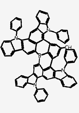 Cc1cc2c3c(c1)-c1c4c(cc5c6ccccc6n(-c6ccccc6)c5c4cc4c5ccccc5n(-c5ccccc5)c14)B3c1cc3c4ccccc4n(-c4ccccc4)c3c3cc4c5ccccc5n(-c5ccccc5)c4c-2c13